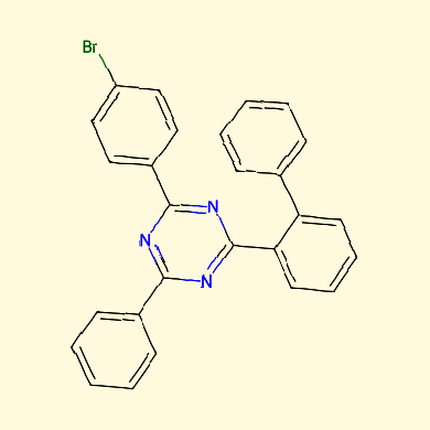 Brc1ccc(-c2nc(-c3ccccc3)nc(-c3ccccc3-c3ccccc3)n2)cc1